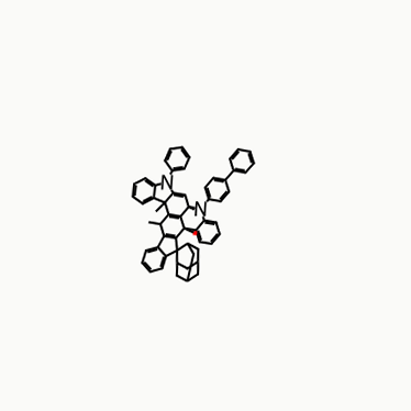 CC1C2=C(C3(C)C4=C1C1(C)C(=CC4(C)N(c4ccc(-c5ccccc5)cc4)c4ccccc43)N(c3ccccc3)c3ccccc31)C1(c3ccccc32)C2CC3CC(C2)CC1C3